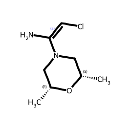 C[C@@H]1CN(/C(N)=C\Cl)C[C@H](C)O1